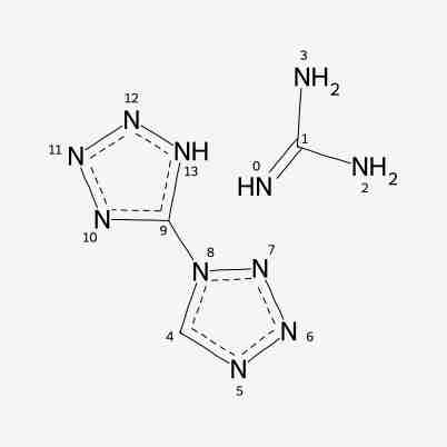 N=C(N)N.c1nnnn1-c1nnn[nH]1